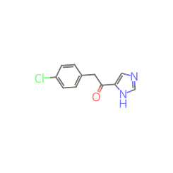 O=C(Cc1ccc(Cl)cc1)c1cnc[nH]1